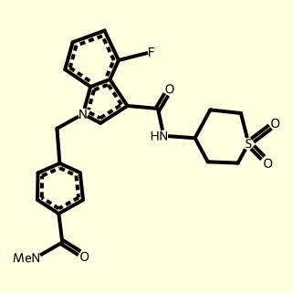 CNC(=O)c1ccc(Cn2cc(C(=O)NC3CCS(=O)(=O)CC3)c3c(F)cccc32)cc1